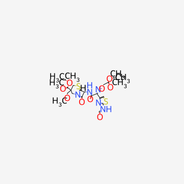 COCC1(C(=O)OC(C)(C)C)CS[C@@H]2C(NC(=O)C(=NOCC(=O)OC(C)(C)C)c3csc(NC=O)n3)C(=O)N2C1